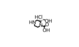 Cl.O=C(O)N1CCNC[C@@H]1CO